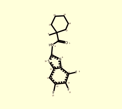 CC1(C(=O)Nc2nc3c(F)c(F)c(F)cc3s2)CCCCC1